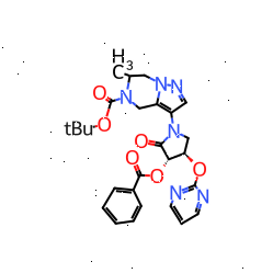 CC1Cn2ncc(N3C[C@@H](Oc4ncccn4)[C@H](OC(=O)c4ccccc4)C3=O)c2CN1C(=O)OC(C)(C)C